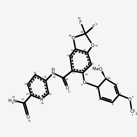 CO[C@H]1C=C(OC(F)(F)F)C=CC1Oc1cc2c(cc1C(=O)Nc1ccc(C(N)=O)nc1)OC(F)(F)O2